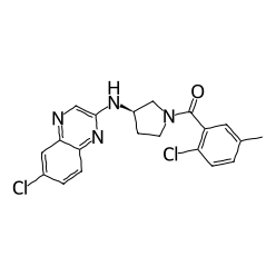 Cc1ccc(Cl)c(C(=O)N2CC[C@@H](Nc3cnc4cc(Cl)ccc4n3)C2)c1